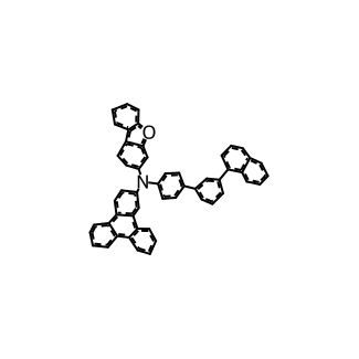 c1cc(-c2ccc(N(c3ccc4c(c3)oc3ccccc34)c3ccc4c5ccccc5c5ccccc5c4c3)cc2)cc(-c2cccc3ccccc23)c1